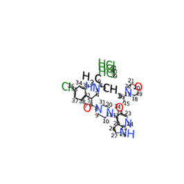 CC(C)NCC(C(=O)N1CCN(c2c(OCCN3CCOCC3)cnc3[nH]ccc23)CC1)c1ccc(Cl)cc1.Cl.Cl.Cl